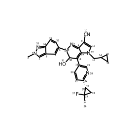 Cn1cc2cc(N3N=c4c(C#N)cn(CC5CC5)c4=C(c4ccc([C@@H]5CC5(F)F)nc4)C3O)ccc2n1